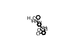 CC1CCCCC1Nc1ccc(NC(=O)c2c(Cl)cccc2Cl)cn1